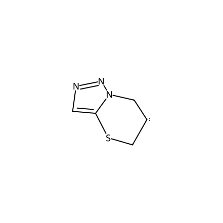 [C]1CSc2cnnn2C1